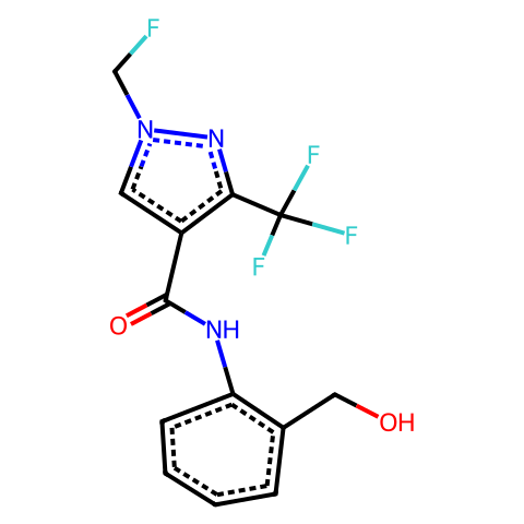 O=C(Nc1ccccc1CO)c1cn(CF)nc1C(F)(F)F